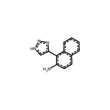 Nc1ccc2ccccc2c1-c1c[nH]nn1